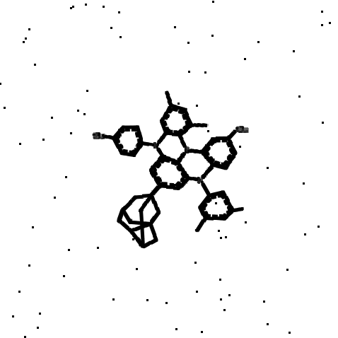 Cc1cc(C)cc(N2c3ccc(C(C)(C)C)cc3B3c4c(C)cc(C)cc4N(c4ccc(C(C)(C)C)cc4)c4cc(C56CC7CC8C(C5)CC8(C7)C6)cc2c43)c1